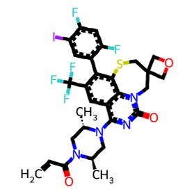 C=CC(=O)N1C[C@H](C)N(c2nc(=O)n3c4c(c(-c5cc(I)c(F)cc5F)c(C(F)(F)F)cc24)SCC2(COC2)C3)C[C@H]1C